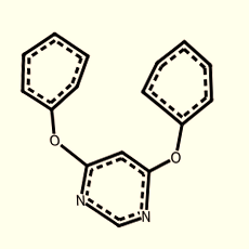 c1ccc(Oc2cc(Oc3ccccc3)ncn2)cc1